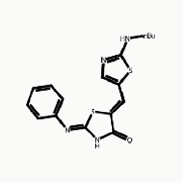 CCCCNc1ncc(/C=C2\S/C(=N\c3ccccc3)NC2=O)s1